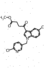 COC(=O)CCC(=O)c1cn(Cc2ccc(Cl)nc2)c2ccc(Cl)cc12